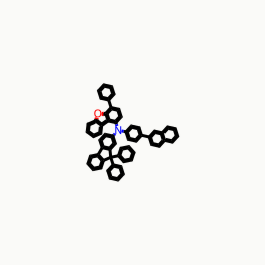 c1ccc(-c2ccc(N(c3ccc(-c4ccc5ccccc5c4)cc3)c3ccc4c(c3)C(c3ccccc3)(c3ccccc3)c3ccccc3-4)c3c2oc2ccccc23)cc1